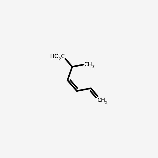 C=C/C=C\C(C)C(=O)O